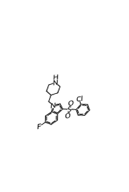 O=S(=O)(c1ccccc1Cl)c1cn(CC2CCNCC2)c2cc(F)ccc12